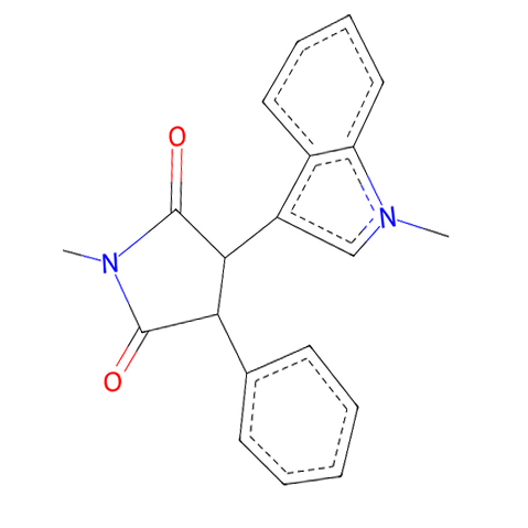 CN1C(=O)C(c2ccccc2)C(c2cn(C)c3ccccc23)C1=O